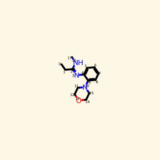 CC/C(=N/c1ccccc1N1CCOCC1)NC